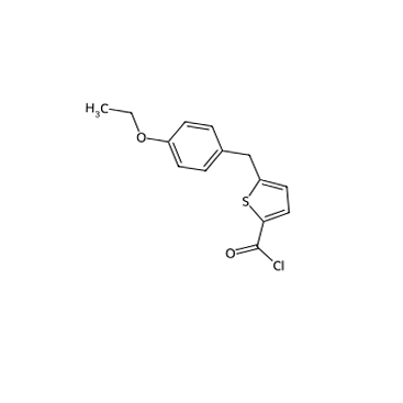 CCOc1ccc(Cc2ccc(C(=O)Cl)s2)cc1